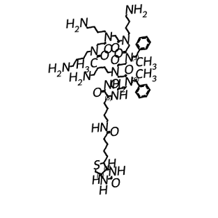 CC(=O)N(CCCCN)CC(=O)N(CCCCN)CC(=O)N(CCCCN)CC(=O)N(CC(=O)N(CCCCN)CC(=O)N(CC(=O)N[C@@H](CCCCNC(=O)CCCCC1SC[C@@H]2NC(=O)N[C@H]12)C(N)=O)[C@@H](C)c1ccccc1)[C@@H](C)c1ccccc1